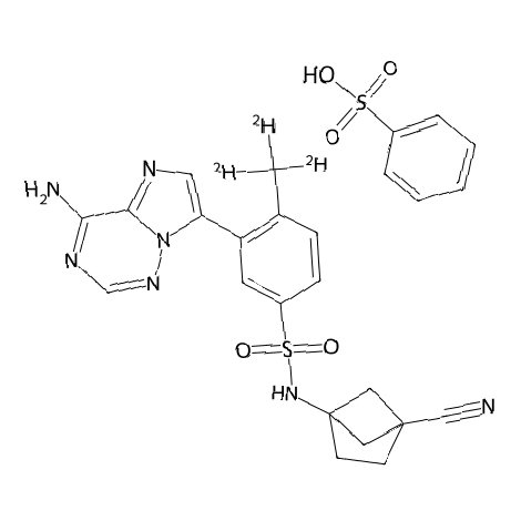 O=S(=O)(O)c1ccccc1.[2H]C([2H])([2H])c1ccc(S(=O)(=O)NC23CCC(C#N)(C2)C3)cc1-c1cnc2c(N)ncnn12